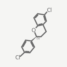 Clc1ccc([C@@H]2CCc3cc(Cl)ccc3O2)cc1